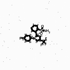 NS(=O)(=O)c1ccccc1-c1cc(C(F)(F)F)cn1-c1ccc(F)cc1